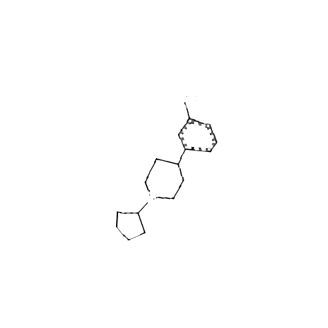 CC(C)(C)c1cccc(C2CCN(C3CCCC3)CC2)c1